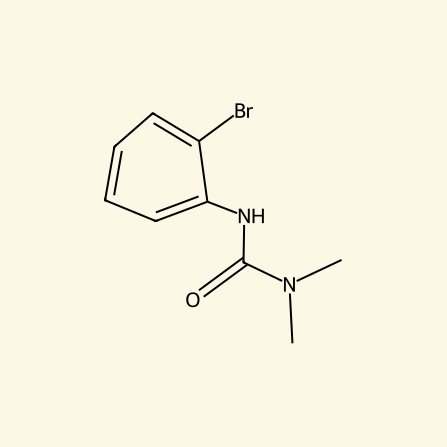 CN(C)C(=O)Nc1ccccc1Br